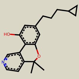 CC1(C)Oc2cc(CCCC3CC3)cc(O)c2-c2cnccc21